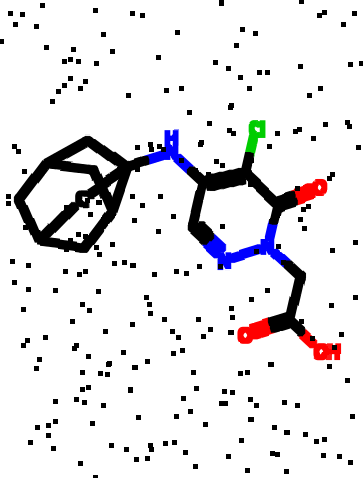 O=C(O)Cn1ncc(NC23CC4CC(CC2C4)C3)c(Cl)c1=O